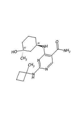 CC1(Nc2ncc(C(N)=O)c(N[C@@H]3CCC[C@](C)(O)C3)n2)CCC1